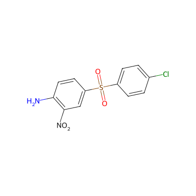 Nc1ccc(S(=O)(=O)c2ccc(Cl)cc2)cc1[N+](=O)[O-]